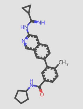 Cc1ccc(C(=O)NC2CCCC2)cc1-c1ccc2cc(NC(=N)C3CC3)ncc2c1